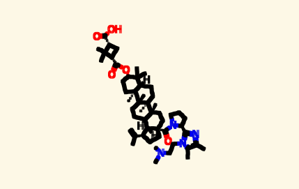 C=C(C)[C@@H]1CC[C@]2(C(=O)N3CCC[C@H]3c3nc(C)c(C)n3CCN(C)C)CC[C@]3(C)[C@H](CC[C@@]4(C)[C@@]3(C)CC[C@H]3C(C)(C)[C@@H](OC(=O)[C@H]5C[C@@H](C(=O)O)C5(C)C)CC[C@@]34C)[C@@H]12